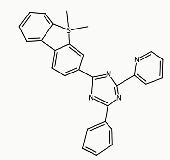 CS1(C)c2ccccc2-c2ccc(-c3nc(-c4ccccc4)nc(-c4ccccn4)n3)cc21